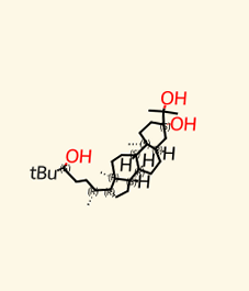 C[C@H](CC[C@H](O)C(C)(C)C)[C@H]1CC[C@H]2[C@@H]3CC[C@@H]4C[C@](O)(C(C)(C)O)CC[C@]4(C)[C@H]3CC[C@]12C